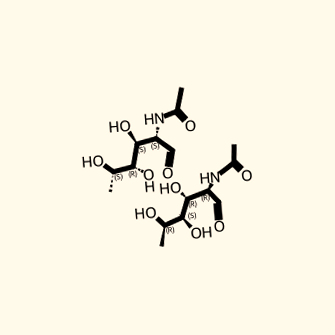 CC(=O)N[C@@H](C=O)[C@@H](O)[C@@H](O)[C@@H](C)O.CC(=O)N[C@H](C=O)[C@H](O)[C@H](O)[C@H](C)O